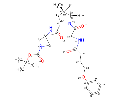 CC(C)(C)OC(=O)N1CC(NC(=O)[C@@H]2C[C@]3(C)C[C@@H]3N2C(=O)CNC(=O)CCCOc2ccccc2)C1